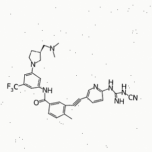 Cc1ccc(C(=O)Nc2cc(N3CC[C@@H](CN(C)C)C3)cc(C(F)(F)F)c2)cc1C#Cc1ccc(NC(=N)NC#N)nc1